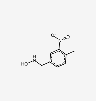 Cc1ccc(CNO)cc1[N+](=O)[O-]